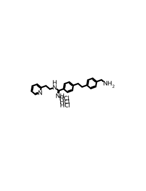 Cl.Cl.Cl.N=C(NCCc1ccccn1)c1ccc(CCc2ccc(CN)cc2)cc1